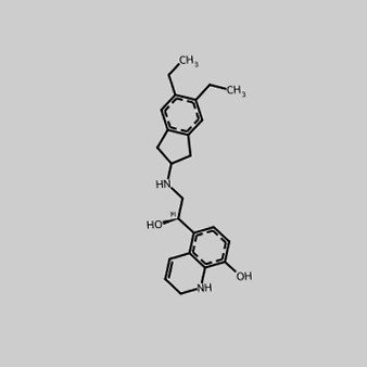 CCc1cc2c(cc1CC)CC(NC[C@H](O)c1ccc(O)c3c1C=CCN3)C2